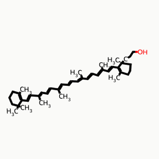 CC1=C(/C=C/C(C)=C/C=C/C(C)=C/C=C/C=C(C)/C=C/C=C(C)/C=C/C2=C(C)CCC[C@]2(C)CCCO)C(C)(C)CCC1